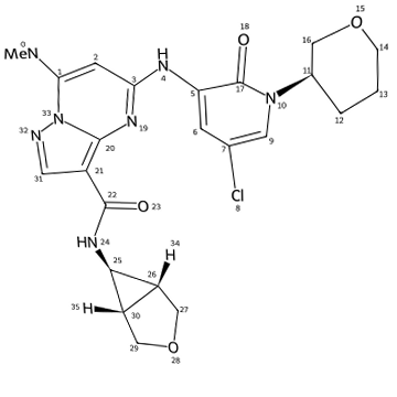 CNc1cc(Nc2cc(Cl)cn([C@@H]3CCCOC3)c2=O)nc2c(C(=O)N[C@H]3[C@@H]4COC[C@@H]43)cnn12